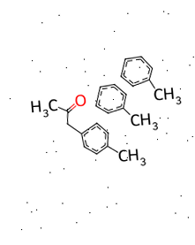 CC(=O)Cc1ccc(C)cc1.Cc1ccccc1.Cc1ccccc1